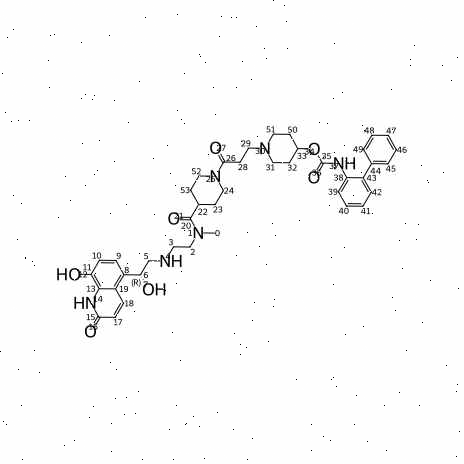 CN(CCNC[C@H](O)c1ccc(O)c2[nH]c(=O)ccc12)C(=O)C1CCN(C(=O)CCN2CCC(OC(=O)Nc3ccccc3-c3ccccc3)CC2)CC1